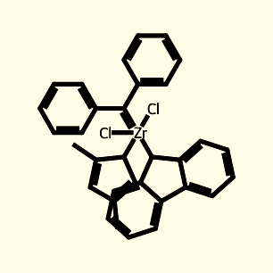 CC1=C[CH]([Zr]([Cl])([Cl])(=[C](c2ccccc2)c2ccccc2)[CH]2c3ccccc3-c3ccccc32)C(C)=C1